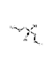 CSOP(=O)(O)OSC.[Zn]